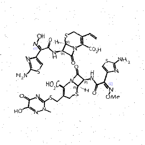 C=CC1=C(C(=O)O)N2C(=O)[C@@H](NC(=O)/C(=N\O)c3csc(N)n3)[C@H]2SC1.CO/N=C(\C(=O)N[C@@H]1C(=O)N2C(C(=O)O)=C(CSc3nc(=O)c(O)nn3C)CS[C@H]12)c1csc(N)n1